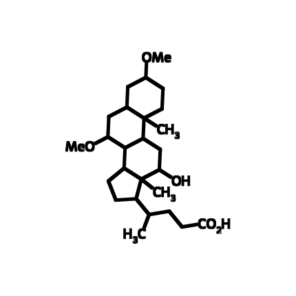 COC1CCC2(C)C(C1)CC(OC)C1C2CC(O)C2(C)C(C(C)CCC(=O)O)CCC12